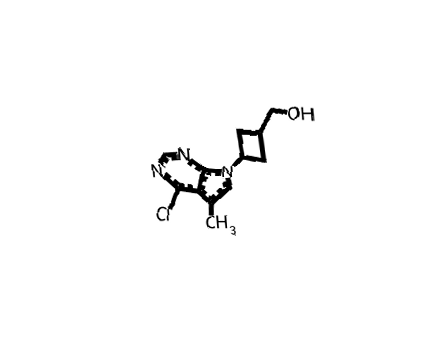 Cc1cn(C2CC(CO)C2)c2ncnc(Cl)c12